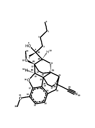 CCCC[C@@](C)(O)[C@H]1C[C@@]23CC[C@]1(OC)[C@@H]1Oc4c(OC)ccc5c4C12CCN(C#N)C3C5